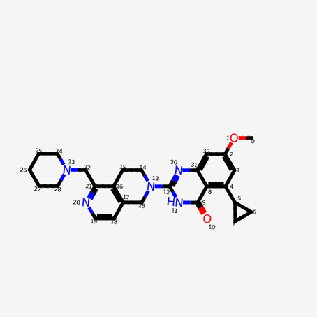 COc1cc(C2CC2)c2c(=O)[nH]c(N3CCc4c(ccnc4CN4CCCCC4)C3)nc2c1